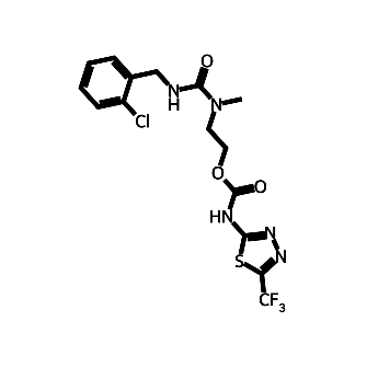 CN(CCOC(=O)Nc1nnc(C(F)(F)F)s1)C(=O)NCc1ccccc1Cl